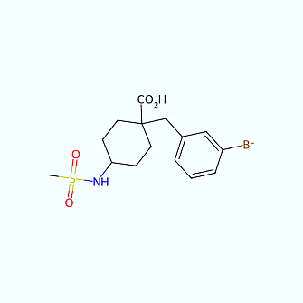 CS(=O)(=O)NC1CCC(Cc2cccc(Br)c2)(C(=O)O)CC1